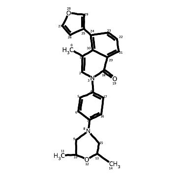 Cc1cn(-c2ccc(N3CC(C)OC(C)C3)cc2)c(=O)c2cccc(-c3ccoc3)c12